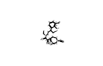 CCC(CCN(CC)C(=O)C1=NNC2C=C1CCN(C#N)C2)c1cccc(F)c1C